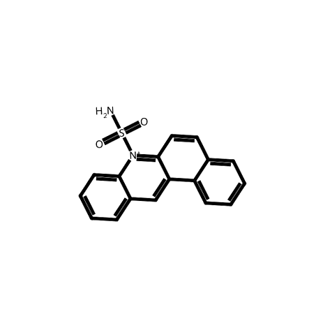 NS(=O)(=O)[n+]1c2ccccc2cc2c3ccccc3ccc21